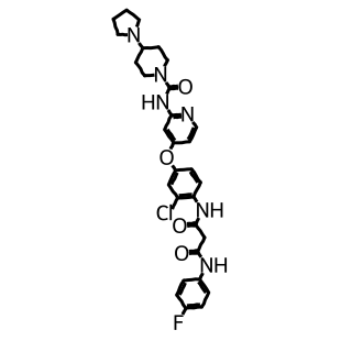 O=C(CC(=O)Nc1ccc(Oc2ccnc(NC(=O)N3CCC(N4CCCC4)CC3)c2)cc1Cl)Nc1ccc(F)cc1